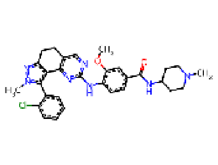 COc1cc(C(=O)NC2CCN(C)CC2)ccc1Nc1ncc2c(n1)-c1c(nn(C)c1-c1ccccc1Cl)CC2